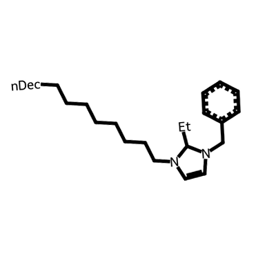 CCCCCCCCCCCCCCCCCCN1C=CN(Cc2ccccc2)C1CC